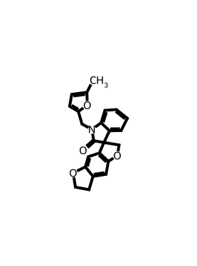 Cc1ccc(CN2C(=O)C3(COc4cc5c(cc43)OCC5)c3ccccc32)o1